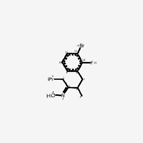 CC(C)C/C(=N\O)C(C)Cc1cccc(Br)c1F